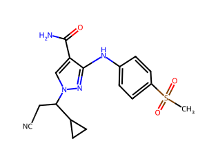 CS(=O)(=O)c1ccc(Nc2nn(C(CC#N)C3CC3)cc2C(N)=O)cc1